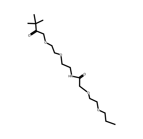 CCCOCCOCC(=O)NCCOCCOCC(=O)C(C)(C)C